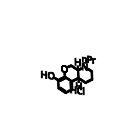 CCCN1CCC[C@@H]2c3cccc(O)c3OC[C@@H]21.Cl